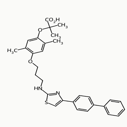 Cc1cc(OC(C)(C)C(=O)O)c(C)cc1OCCCNc1nc(-c2ccc(-c3ccccc3)cc2)cs1